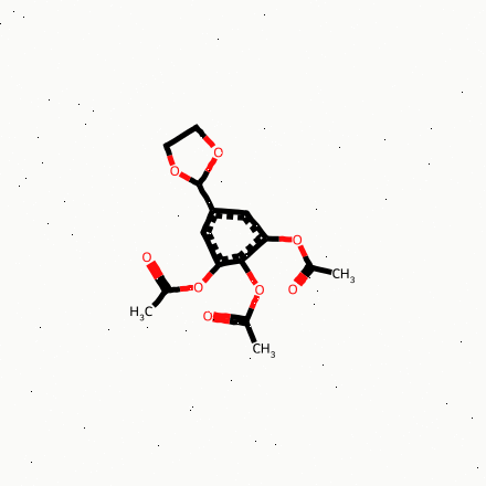 CC(=O)Oc1cc(C2OCCO2)cc(OC(C)=O)c1OC(C)=O